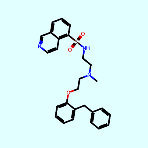 CN(CCNS(=O)(=O)c1cccc2cnccc12)CCOc1ccccc1Cc1ccccc1